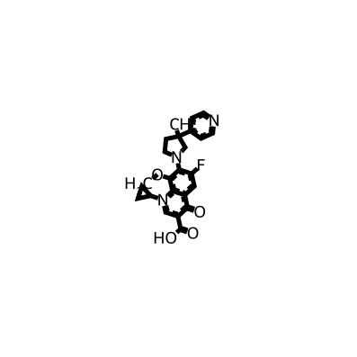 COc1c(N2CCC(C)(c3ccncc3)C2)c(F)cc2c(=O)c(C(=O)O)cn(C3CC3)c12